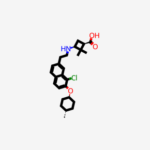 CC1(C)[C@@H](NCCc2ccc3ccc(O[C@H]4CC[C@@H](C)CC4)c(Cl)c3c2)C[C@H]1C(=O)O